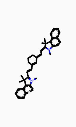 CN1/C(=C\C=C2C=C(/C=C/C3=[N+](C)c4ccc5ccccc5c4C3(C)C)CCC\2)C(C)(C)c2c1ccc1ccccc21